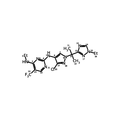 CCNc1nc(Nc2cn(C(C)(C)c3ncn(CC)n3)nc2Cl)ncc1C(F)(F)F